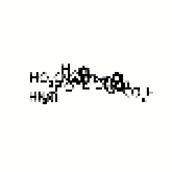 CC(=N)NCCCCC(NC(=O)c1cc(=O)c2c(OCC(O)COc3cccc4oc(C(=O)O)cc(=O)c34)cccc2o1)C(=O)O